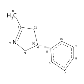 CC1=NC[C@@H](c2ccccc2)C1